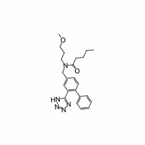 CCCCC(=O)N(CCCOC)Cc1ccc(-c2ccccc2)c(-c2nnn[nH]2)c1